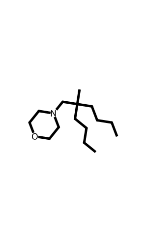 CCCCC(C)(CCCC)CN1CCOCC1